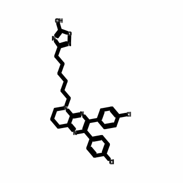 Oc1nc(CCCCCCN2CCCc3nc(-c4ccc(Cl)cc4)c(-c4ccc(Cl)cc4)nc32)no1